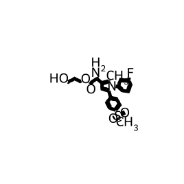 Cc1c(C(N)C(=O)OCCCO)cc(-c2ccc(S(C)(=O)=O)cc2)n1-c1cccc(F)c1